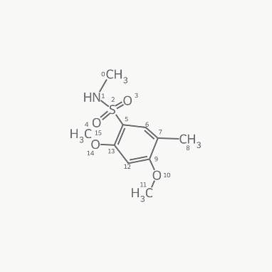 CNS(=O)(=O)c1cc(C)c(OC)cc1OC